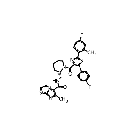 Cc1cc(F)ccc1-c1nc(C(=O)N2CCCC[C@H]2CNC(=O)c2c(C)nc3sccn23)c(-c2ccc(F)cc2)s1